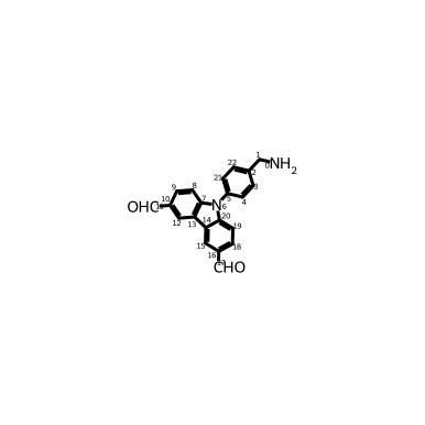 NCc1ccc(-n2c3ccc(C=O)cc3c3cc(C=O)ccc32)cc1